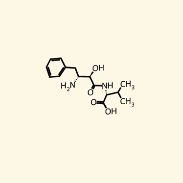 CC(C)[C@@H](NC(=O)[C@H](O)[C@H](N)Cc1ccccc1)C(=O)O